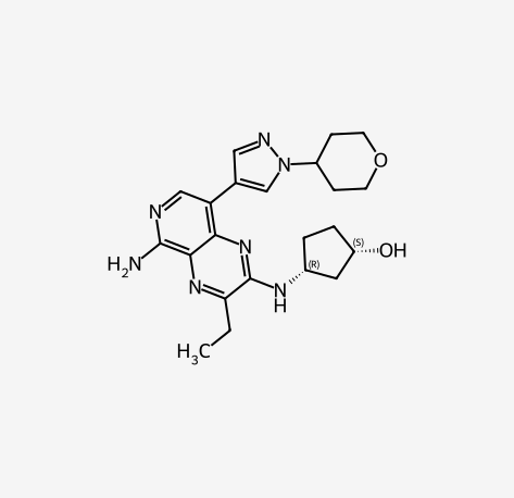 CCc1nc2c(N)ncc(-c3cnn(C4CCOCC4)c3)c2nc1N[C@@H]1CC[C@H](O)C1